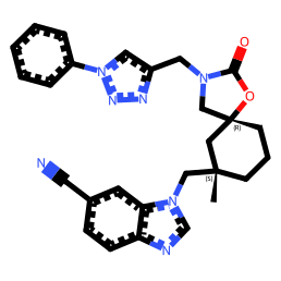 C[C@]1(Cn2cnc3ccc(C#N)cc32)CCC[C@]2(CN(Cc3cn(-c4ccccc4)nn3)C(=O)O2)C1